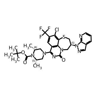 C[C@@H]1CN(c2nc(=O)n3c4c(c(Cl)c(C(F)(F)F)cc24)SC[C@@H](n2ncc4cccnc42)C3)C[C@H](C)N1C(=O)OC(C)(C)C